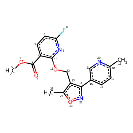 COC(=O)c1ccc(F)nc1OCc1c(-c2ccc(C)nc2)noc1C